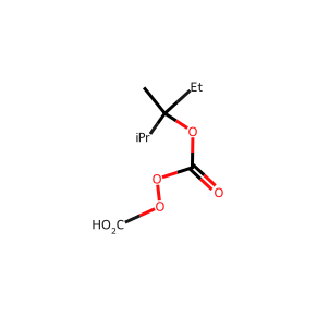 CCC(C)(OC(=O)OOC(=O)O)C(C)C